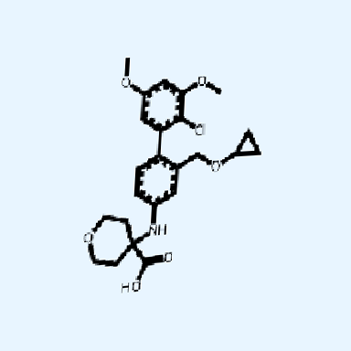 COc1cc(OC)c(Cl)c(-c2ccc(NC3(C(=O)O)CCOCC3)cc2COC2CC2)c1